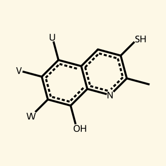 Cc1nc2c(O)[c]([W])[c]([V])[c]([U])c2cc1S